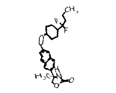 CCCC(F)(F)C1CCC(Oc2ccc3cc([C@]4(C)COC(=O)N4)ccc3c2)CC1